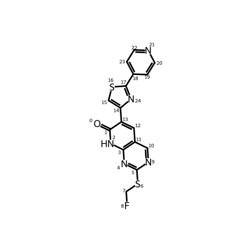 O=c1[nH]c2nc(SCF)ncc2cc1-c1csc(-c2ccncc2)n1